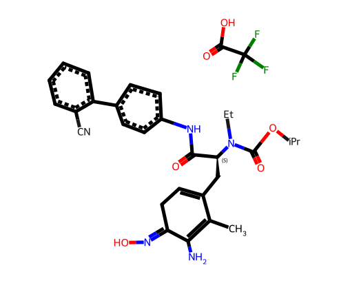 CCN(C(=O)OC(C)C)[C@@H](CC1=CCC(=NO)C(N)=C1C)C(=O)Nc1ccc(-c2ccccc2C#N)cc1.O=C(O)C(F)(F)F